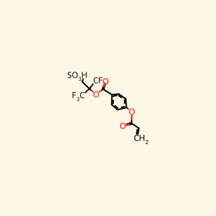 C=CC(=O)Oc1ccc(C(=O)OC(CS(=O)(=O)O)(C(F)(F)F)C(F)(F)F)cc1